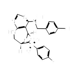 CN(Cc1ccc(Cl)cc1)c1ncnc2c1[C@@H]1OC[C@H](CN2)N1S(=O)(=O)c1ccc(F)cc1